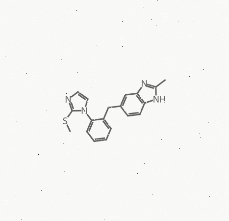 CSc1nccn1-c1ccccc1Cc1ccc2[nH]c(C)nc2c1